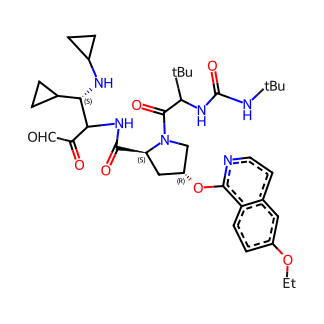 CCOc1ccc2c(O[C@@H]3C[C@@H](C(=O)NC(C(=O)C=O)[C@@H](NC4CC4)C4CC4)N(C(=O)C(NC(=O)NC(C)(C)C)C(C)(C)C)C3)nccc2c1